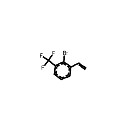 C=Cc1cccc(C(F)(F)F)c1Br